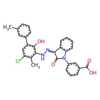 Cc1cccc(-c2cc(Cl)c(C)c(NN=C3C(=O)N(c4cccc(C(=O)O)c4)c4ccccc43)c2O)c1